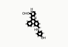 O=CC1NC=Cc2nc(-c3ccc(CNc4ccc(O)cc4)cc3)c(-c3ccccc3)cc21